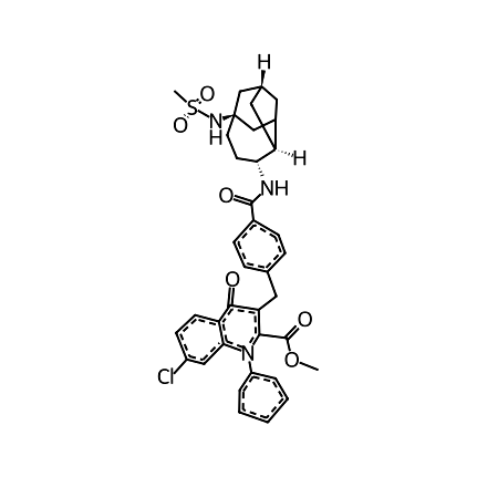 COC(=O)c1c(Cc2ccc(C(=O)N[C@@H]3CC[C@@]4(NS(C)(=O)=O)CC5C[C@H](C[C@@H]53)C4)cc2)c(=O)c2ccc(Cl)cc2n1-c1ccccc1